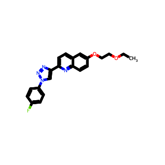 CCOCCOc1ccc2nc(-c3cn(-c4ccc(F)cc4)nn3)ccc2c1